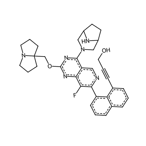 OCC#Cc1cccc2cccc(-c3ncc4c(N5CC6CCC(C5)N6)nc(OCC56CCCN5CCC6)nc4c3F)c12